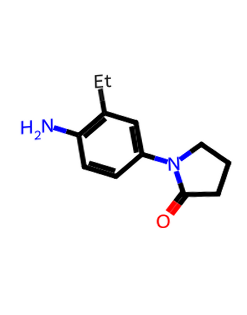 CCc1cc(N2CCCC2=O)ccc1N